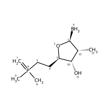 B[C@@H]1O[C@H](CCP(=C)(C)C)[C@@H](O)[C@H]1C